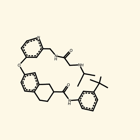 CC(C)NCC(=O)NCc1cc(Oc2ccc3c(c2)CC(C(=O)Nc2cccc(C(C)(C)C)c2)CC3)ccn1